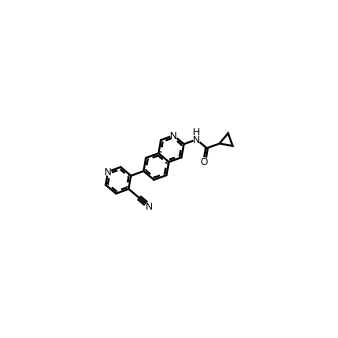 N#Cc1ccncc1-c1ccc2cc(NC(=O)C3CC3)ncc2c1